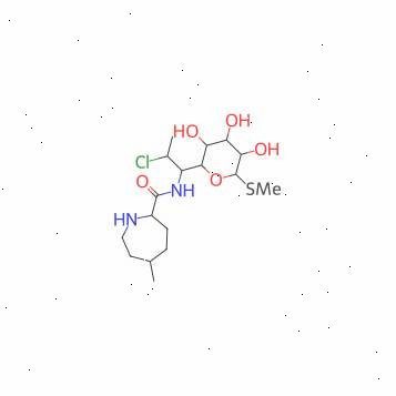 CSC1OC(C(NC(=O)C2CCC(C)CCN2)C(C)Cl)C(O)C(O)C1O